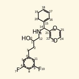 OC(CCc1cc(F)cc(F)c1)CNC(C1=CC=CCC1)C1=COC=CO1